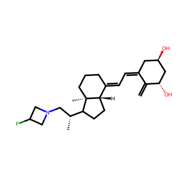 C=C1/C(=C\C=C2/CCC[C@]3(C)C([C@H](C)CN4CC(F)C4)CC[C@@H]23)C[C@@H](O)C[C@@H]1O